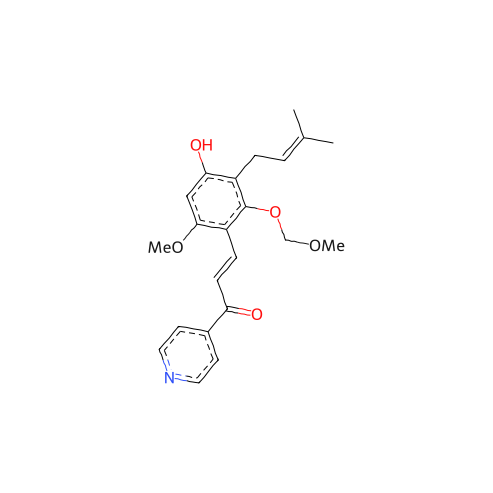 COCOc1c(C=CC(=O)c2ccncc2)c(OC)cc(O)c1CC=C(C)C